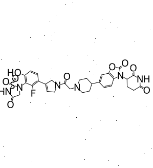 O=C1CCC(n2c(=O)oc3cc(C4CCN(CC(=O)N5CC=C(c6ccc(O)c(N7CC(=O)NS7(=O)=O)c6F)C5)CC4)ccc32)C(=O)N1